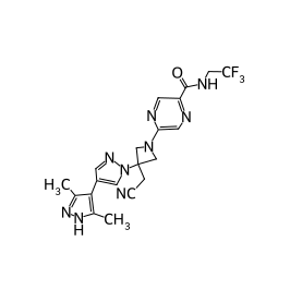 Cc1n[nH]c(C)c1-c1cnn(C2(CC#N)CN(c3cnc(C(=O)NCC(F)(F)F)cn3)C2)c1